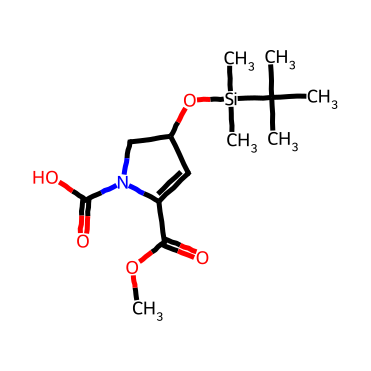 COC(=O)C1=CC(O[Si](C)(C)C(C)(C)C)CN1C(=O)O